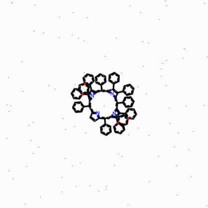 C1=Cc2nc1c(-c1ccccc1)c1c(-c3ccccc3)c(-c3ccccc3)c(c(-c3ccccc3)c3nc(c(-c4ccccc4)c4c(-c5ccccc5)c(-c5ccccc5)c(c2-c2ccccc2)n4-c2ccccc2)C(c2ccccc2)=C3c2ccccc2)n1-c1ccccc1